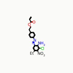 C=CC(=O)OCCc1ccc(N=Nc2cc(CC)c([N+](=O)[O-])c(Cl)c2N)cc1